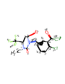 Cn1c(C(F)(F)F)cc(=O)n(-c2ccc(Cl)c(C(=O)Cl)c2)c1=O